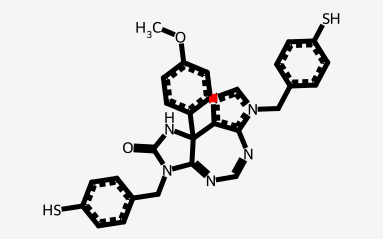 COc1ccc(C23NC(=O)N(Cc4ccc(S)cc4)C2=NC=Nc2c3ncn2Cc2ccc(S)cc2)cc1